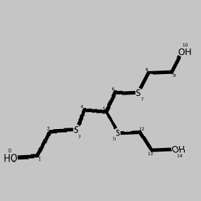 OCCSCC(CSCCO)SCCO